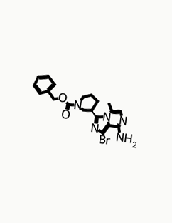 Cc1cnc(N)c2c(Br)nc([C@@H]3CCCN(C(=O)OCc4ccccc4)C3)n12